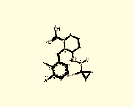 O=C(O)N1CCCC(N[S+]([O-])C2(F)CC2)C1Cc1cccc(Br)c1F